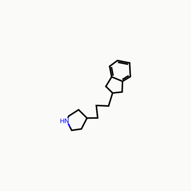 c1ccc2c(c1)CC(CCCC1CCNCC1)C2